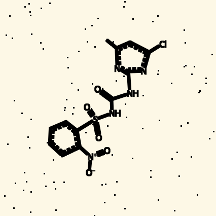 Cc1cc(Cl)nc(NC(=O)NS(=O)(=O)c2ccccc2[N+](=O)[O-])n1